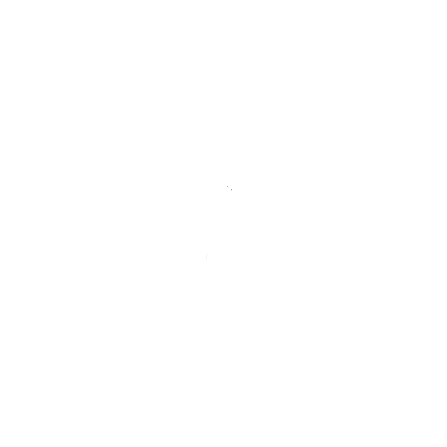 CCC(CC)[C@@H](C)N.Cl